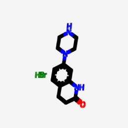 Br.O=C1CCc2ccc(N3CCNCC3)cc2N1